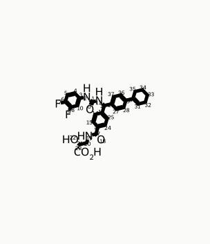 O=C(Nc1ccc(F)c(F)c1)NC(c1ccc(C(=O)NC[C@@H](O)C(=O)O)cc1)c1ccc(C2=CCCCC2)cc1